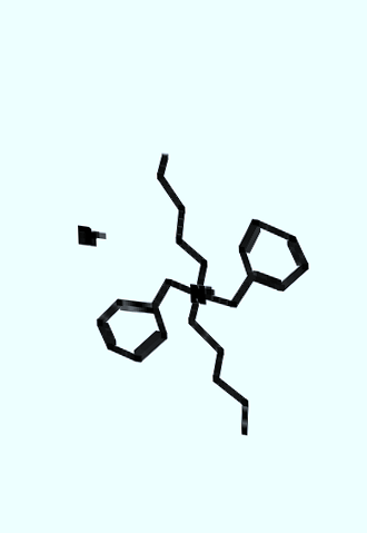 CCCCC[N+](CCCCC)(Cc1ccccc1)Cc1ccccc1.[Br-]